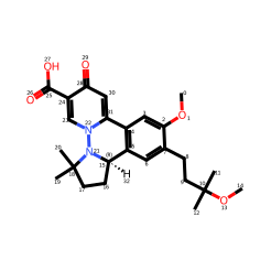 COc1cc2c(cc1CCC(C)(C)OC)[C@H]1CCC(C)(C)N1n1cc(C(=O)O)c(=O)cc1-2